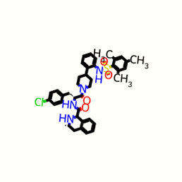 Cc1cc(C)c(S(=O)(=O)Nc2ccccc2C2CCN(C(=O)[C@@H](Cc3ccc(Cl)cc3)NC(=O)C3N[CH]Cc4ccccc43)CC2)c(C)c1